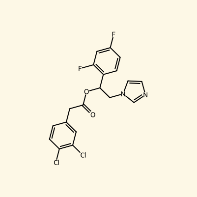 O=C(Cc1ccc(Cl)c(Cl)c1)OC(Cn1ccnc1)c1ccc(F)cc1F